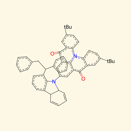 CC(C)(C)c1ccc2c(c1)c(=O)c1cc(N3c4c(C(Cc5ccccc5)c5ccccc5)cccc4C4C=CC=CC43)cc3c(=O)c4cc(C(C)(C)C)ccc4n2c13